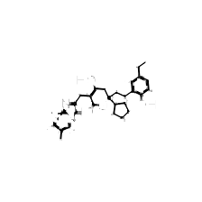 CCc1ccc(O)c(CCC2(C3CCCC3)CC(O)=C(Cc3nc4ncc(C)cn4n3)C(=O)O2)c1